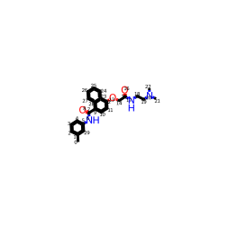 Cc1cccc(NC(=O)c2ccc(OCC(=O)NCCN(C)C)c3ccccc23)c1